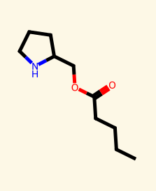 CCCCC(=O)OCC1CCCN1